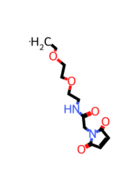 [CH2]COCCOCCNC(=O)CN1C(=O)C=CC1=O